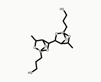 CC1O[Si]2(CCCS)OC1C(C1O[Si]3(CCCS)OC(C)C1O3)O2